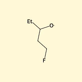 CCC([O])CCF